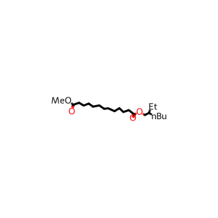 CCCCC(CC)COC(=O)CCCCCCCCCCCC(=O)OC